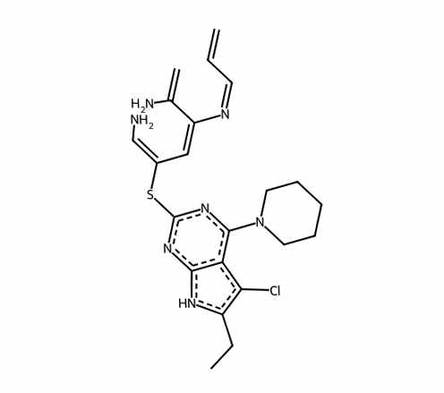 C=C\C=N/C(=C/C(=C\N)Sc1nc(N2CCCCC2)c2c(Cl)c(CC)[nH]c2n1)C(=C)N